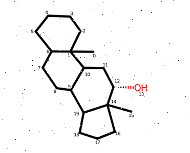 CC12CCCCC1CCC1C2C[C@H](O)C2(C)CCCC12